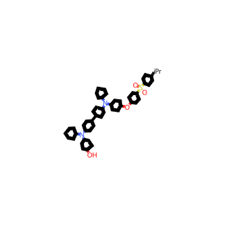 CC(C)c1ccc(S(=O)(=O)c2ccc(Oc3ccc(N(c4ccccc4)c4ccc(-c5ccc(N(c6ccccc6)c6ccc(O)cc6)cc5)cc4)cc3)cc2)cc1